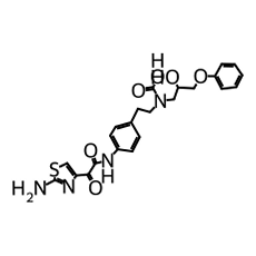 Nc1nc(C(=O)C(=O)Nc2ccc(CCN(CC(O)COc3ccccc3)C(=O)O)cc2)cs1